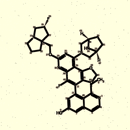 CCc1nccc2cc(O)cc(-c3c4c(c5c(N6C[C@H]7CC[C@@H](C6)N7)nc(OC[C@@]67CCCN6C[C@H](F)C7)nc5c3F)OCO4)c12